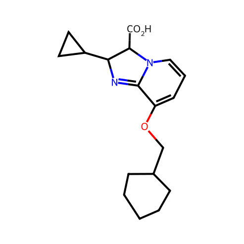 O=C(O)C1C(C2CC2)N=C2C(OCC3CCCCC3)=CC=CN21